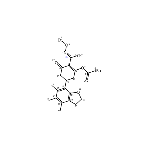 CCC/C(=N\OCC)C1=C(OC(=O)C(C)(C)C)CC(c2c(C)c(C)c(C)c3c2OCC3)CC1=O